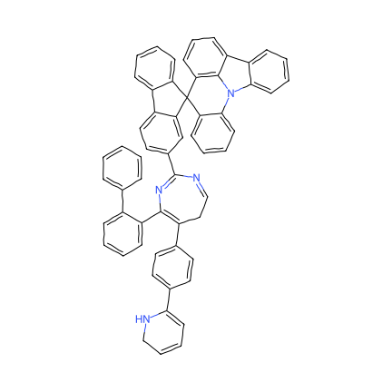 C1=CCNC(c2ccc(C3=C(c4ccccc4-c4ccccc4)N=C(c4ccc5c(c4)C4(c6ccccc6-5)c5ccccc5-n5c6ccccc6c6cccc4c65)N=CC3)cc2)=C1